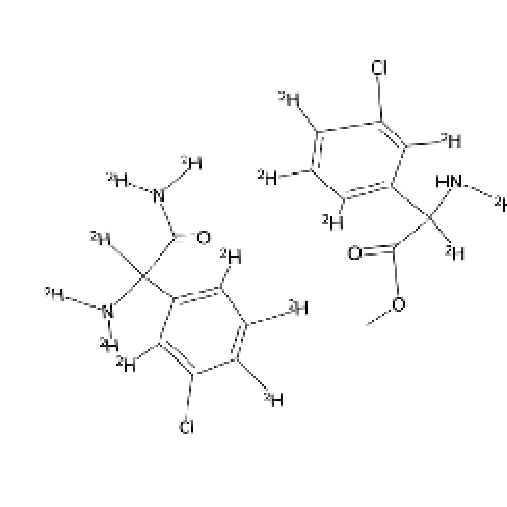 [2H]NC([2H])(C(=O)OC)c1c([2H])c([2H])c([2H])c(Cl)c1[2H].[2H]c1c([2H])c(Cl)c([2H])c(C([2H])(C(=O)N([2H])[2H])N([2H])[2H])c1[2H]